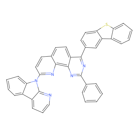 c1ccc(-c2nc(-c3ccc4sc5ccccc5c4c3)c3ccc4ccc(-n5c6ccccc6c6cccnc65)nc4c3n2)cc1